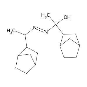 CC(N=NC(C)(O)C1CC2CCC1C2)C1CC2CCC1C2